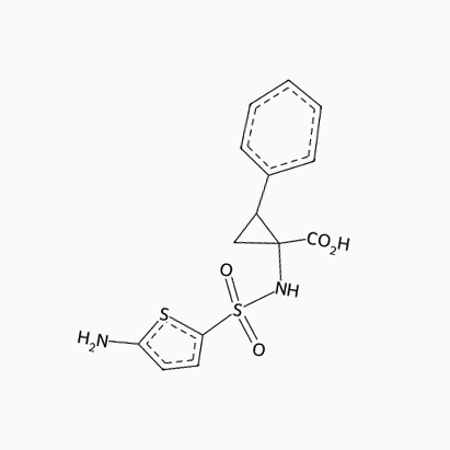 Nc1ccc(S(=O)(=O)NC2(C(=O)O)CC2c2ccccc2)s1